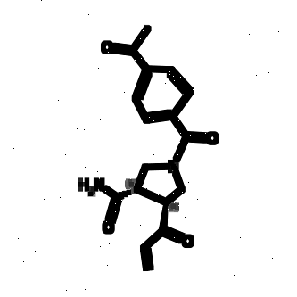 C=CC(=O)[C@@H]1CN(C(=O)c2ccc(C(C)=O)cc2)C[C@H]1C(N)=O